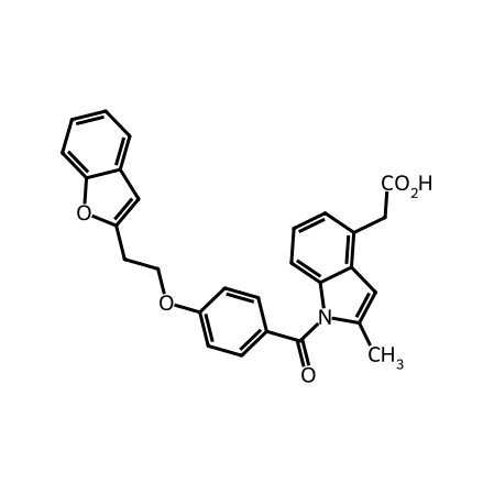 Cc1cc2c(CC(=O)O)cccc2n1C(=O)c1ccc(OCCc2cc3ccccc3o2)cc1